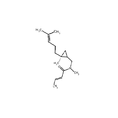 C/C=C/C(=O)N(C)CC1C[C@]1(C)CCC=C(C)C